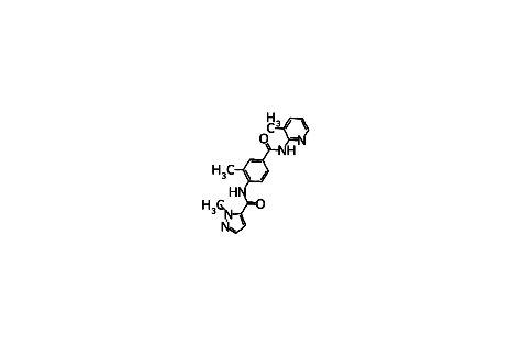 Cc1cc(C(=O)Nc2ncccc2C)ccc1NC(=O)c1ccnn1C